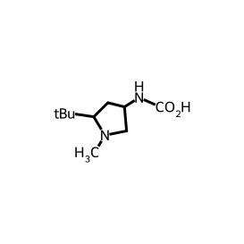 CN1CC(NC(=O)O)CC1C(C)(C)C